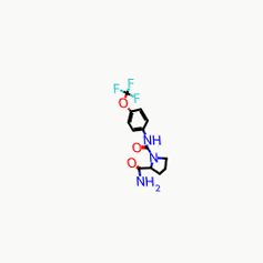 NC(=O)C1CCCN1C(=O)Nc1ccc(OC(F)(F)F)cc1